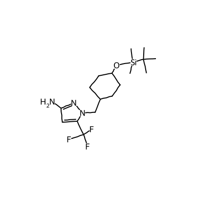 CC(C)(C)[Si](C)(C)OC1CCC(Cn2nc(N)cc2C(F)(F)F)CC1